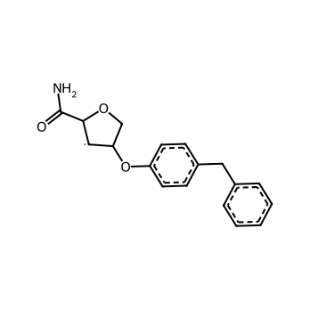 NC(=O)C1[CH]C(Oc2ccc(Cc3ccccc3)cc2)CO1